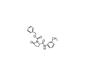 Cc1cccc(NC(=O)C2CCC(=O)N2C(=O)OCc2ccccc2)c1